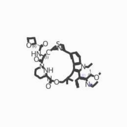 C=C/C(=C(\N=C/C)[C@H](C)OC)c1c2c3cc(ccc3n1CC)-c1csc(n1)C[C@H](NC(=O)[C@H]1CCO1)C(=O)N1CCC[C@H](N1)C(=O)OCC(C)(C)C2